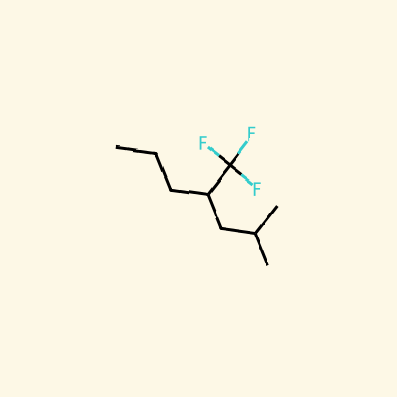 CCCC(CC(C)C)C(F)(F)F